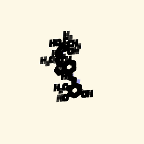 C=C1/C(=C\C=C2/CCC[C@]3(C)[C@@H]([C@H](C)/C=C/[C@@](C)(O)C(C)(C)O)CC[C@@H]23)C[C@@H](O)CC1O